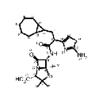 CC1(C)S[C@@H]2[C@H](NC(=O)C(CC3C4CCCCCC43)c3csc(N)n3)C(=O)N2[C@H]1C(=O)O